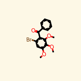 COc1cc(Br)c(C(=O)c2ccccc2)c(OC)c1OC